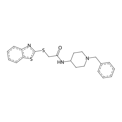 O=C(CSc1nc2ccccc2s1)NC1CCN(Cc2ccccc2)CC1